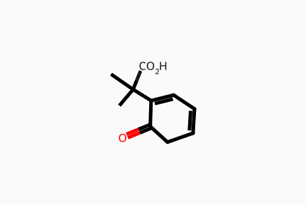 CC(C)(C(=O)O)C1=CC=CCC1=O